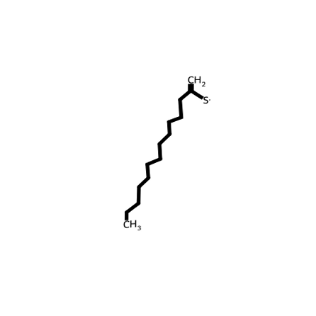 C=C([S])CCCCCCCCCCCC